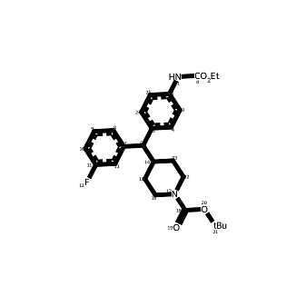 CCOC(=O)Nc1ccc(C(c2cccc(F)c2)C2CCN(C(=O)OC(C)(C)C)CC2)cc1